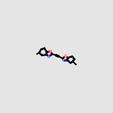 Cc1ccc2oc(C#Cc3nc4cc(C)ccc4o3)nc2c1